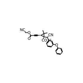 CC1(C)[C@H](C#CC(=O)OCC#N)[C@@]1(C(=O)O)[C@@H](C#N)c1cccc(Oc2ccccc2)c1